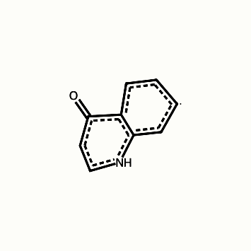 O=c1cc[nH]c2c[c]ccc12